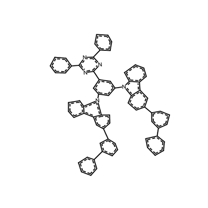 c1ccc(-c2cccc(-c3ccc4c(c3)c3ccccc3n4-c3cc(-c4nc(-c5ccccc5)nc(-c5ccccc5)n4)cc(-n4c5ccccc5c5cc(-c6cccc(-c7ccccc7)c6)ccc54)c3)c2)cc1